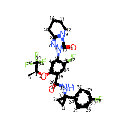 C[C@H](Oc1cc(-n2nc3n(c2=O)CCCC3)c(F)cc1C(=O)NC1(c2ccc(F)cc2)CC1)C(F)(F)F